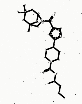 CCCC(F)OC(=O)N1CCC(c2cc(C(=O)N3CC4(C)CC3CC(C)(C)C4)cs2)CC1